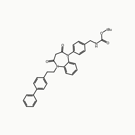 CC(C)(C)OC(=O)NCc1ccc(N2C(=O)CC(=O)N(CCc3ccc(-c4ccccc4)cc3)c3ccccc32)cc1